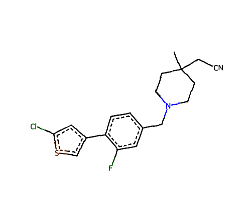 CC1(CC#N)CCN(Cc2ccc(-c3csc(Cl)c3)c(F)c2)CC1